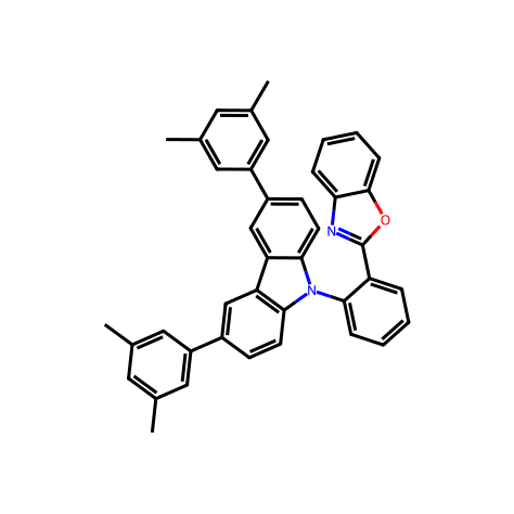 Cc1cc(C)cc(-c2ccc3c(c2)c2cc(-c4cc(C)cc(C)c4)ccc2n3-c2ccccc2-c2nc3ccccc3o2)c1